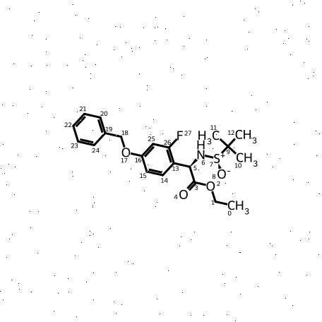 CCOC(=O)[C@H](N[S@+]([O-])C(C)(C)C)c1ccc(OCc2ccccc2)cc1F